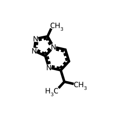 Cc1nnc2nc(C(C)C)ccn12